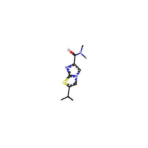 CC(C)c1cn2cc(C(=O)N(C)C)nc2s1